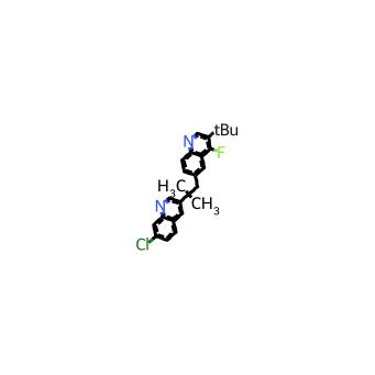 CC(C)(C)c1cnc2ccc(CC(C)(C)c3cnc4cc(Cl)ccc4c3)cc2c1F